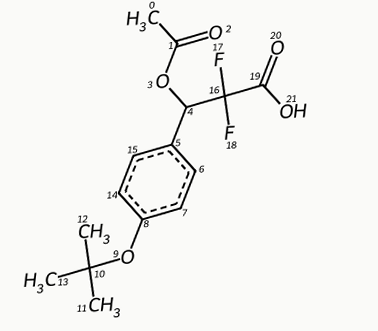 CC(=O)OC(c1ccc(OC(C)(C)C)cc1)C(F)(F)C(=O)O